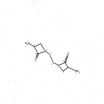 NC1CN(SSN2CC(N)C2=O)C1=O